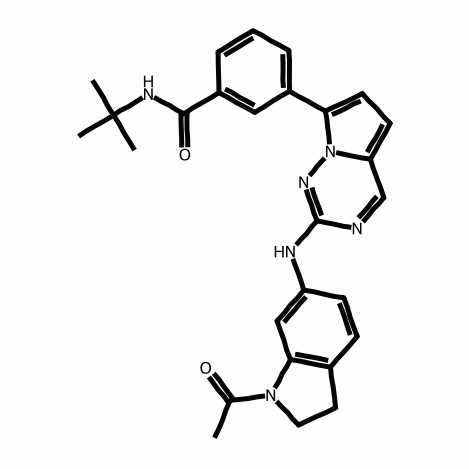 CC(=O)N1CCc2ccc(Nc3ncc4ccc(-c5cccc(C(=O)NC(C)(C)C)c5)n4n3)cc21